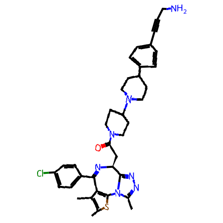 Cc1sc2c(c1C)C(c1ccc(Cl)cc1)=N[C@@H](CC(=O)N1CCC(N3CCC(c4ccc(C#CCN)cc4)CC3)CC1)c1nnc(C)n1-2